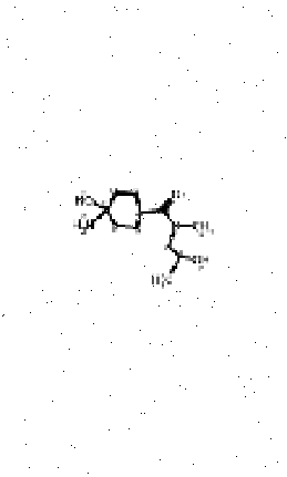 CC(O)CN(C)C(=O)C1CCC(N)(O)CC1